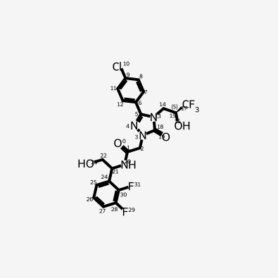 O=C(Cn1nc(-c2ccc(Cl)cc2)n(C[C@H](O)C(F)(F)F)c1=O)NC(CO)c1cccc(F)c1F